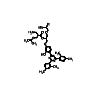 C=CC(COC(=C)C)C(=O)OC(COCC(CC)CCCC)COc1ccc(-c2nc(-c3ccc(C)cc3C)nc(-c3ccc(C)cc3C)n2)c(O)c1